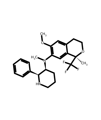 COc1cc2c(cc1N(C)[C@H]1CCCN[C@H]1c1ccccc1)[C@](C)(C(F)(F)F)OCC2